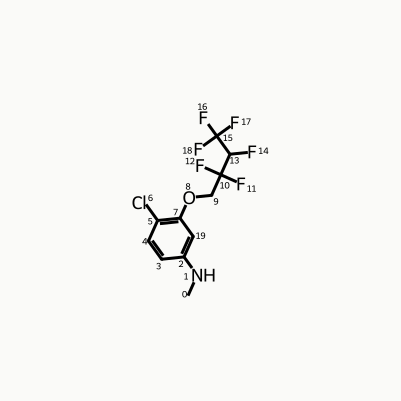 CNc1ccc(Cl)c(OCC(F)(F)C(F)C(F)(F)F)c1